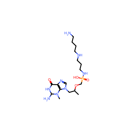 CC(Cn1cnc2c1N(C)C(N)NC2=O)OCP(=O)(O)NCCCNCCCCN